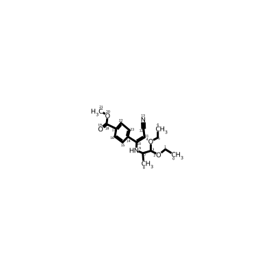 CCOC(OCC)C(C)N/C(=C/C#N)c1ccc(C(=O)OC)cc1